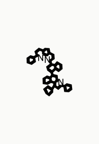 c1ccc(-c2cc(-c3ccccc3)c3c(cc(-c4ccc(-c5ccc6ccc7ccc(-c8ccccc8)nc7c6n5)c5ccccc45)c4ccccc43)n2)cc1